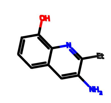 CCc1nc2c(O)cccc2cc1N